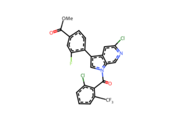 COC(=O)c1ccc(-c2cn(C(=O)c3c(Cl)cccc3C(F)(F)F)c3cnc(Cl)cc23)c(F)c1